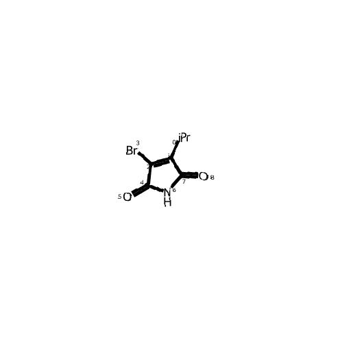 CC(C)C1=C(Br)C(=O)NC1=O